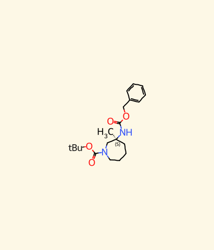 CC(C)(C)OC(=O)N1CCCC[C@](C)(NC(=O)OCc2ccccc2)C1